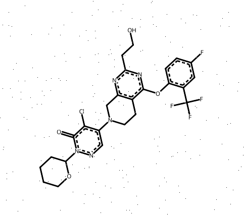 O=c1c(Cl)c(N2CCc3c(nc(CCO)nc3Oc3ccc(F)cc3C(F)(F)F)C2)cnn1C1CCCCO1